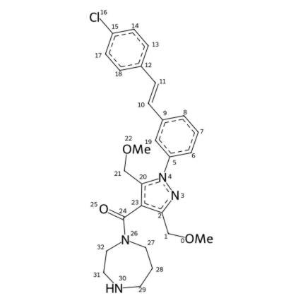 COCc1nn(-c2cccc(/C=C/c3ccc(Cl)cc3)c2)c(COC)c1C(=O)N1CCCNCC1